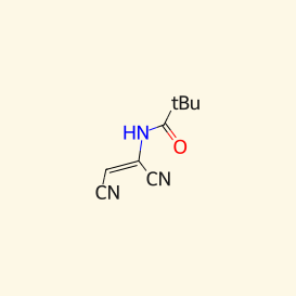 CC(C)(C)C(=O)N/C(C#N)=C/C#N